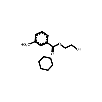 C1CCCCC1.O=C(O)c1cccc(C(=O)OCCO)c1